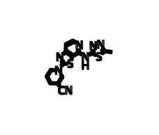 Cc1nnc(Nc2nccc3nc(N4CCCC(C#N)C4)sc23)s1